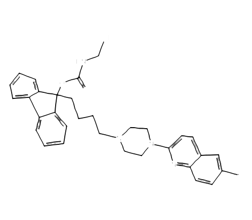 O=C(NCC(F)(F)F)OC1(CCCCN2CCN(c3ccc4cc(F)ccc4n3)CC2)c2ccccc2-c2ccccc21